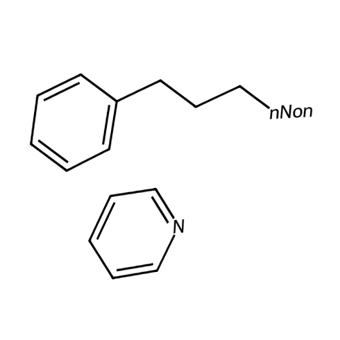 CCCCCCCCCCCCc1ccccc1.c1ccncc1